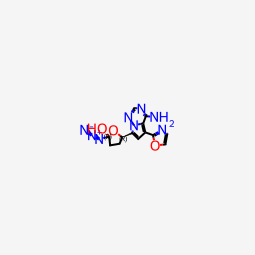 [N-]=[N+]=N[C@@]1(O)CC[C@H](c2cc(-c3ncco3)c3c(N)ncnn23)O1